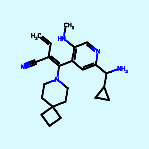 C=C/C(C#N)=C(\c1cc(C(N)C2CC2)ncc1NC)N1CCC2(CCC2)CC1